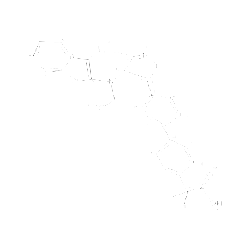 CCN(c1cc2ccccc2s1)c1c(C)noc1-c1ccc(-c2ccc(C3(C(=O)O)CC3)cc2)cc1